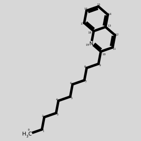 CCCCCCCCCCc1c[c]c2ccccc2n1